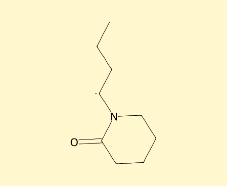 CCC[CH]N1CCCCC1=O